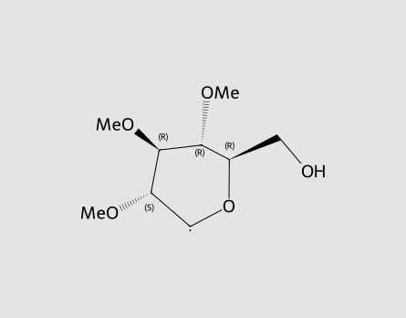 CO[C@H]1[C@H](OC)[C@@H](CO)O[CH][C@@H]1OC